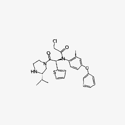 Cc1cc(Oc2ccccc2)ccc1N(C(=O)CCl)[C@H](C(=O)N1CCN[C@@H](C(C)C)C1)c1cccs1